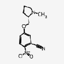 CN1CCC[C@H]1COc1ccc([N+](=O)[O-])c(C#N)c1